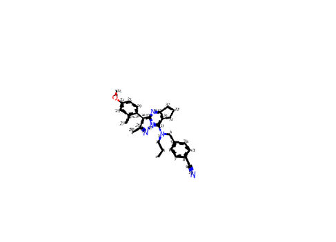 CCCN(Cc1ccc(C#N)cc1)c1c2c(nc3c(-c4ccc(OC)cc4C)c(C)nn13)CCC2